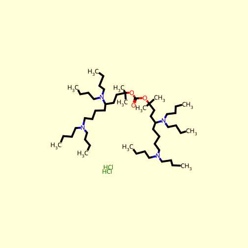 CCCCN(CCCC)CCCCC(CCC(C)(C)OC(=O)OC(C)(C)CCC(CCCCN(CCCC)CCCC)N(CCCC)CCCC)N(CCCC)CCCC.Cl.Cl